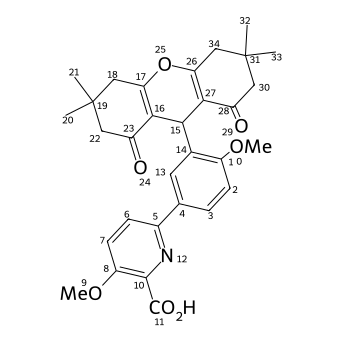 COc1ccc(-c2ccc(OC)c(C(=O)O)n2)cc1C1C2=C(CC(C)(C)CC2=O)OC2=C1C(=O)CC(C)(C)C2